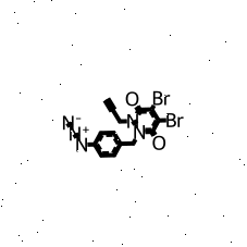 C#CCn1c(=O)c(Br)c(Br)c(=O)n1Cc1ccc(N=[N+]=[N-])cc1